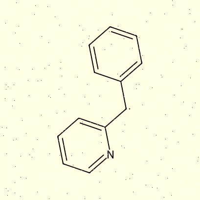 [CH](c1ccccc1)c1ccccn1